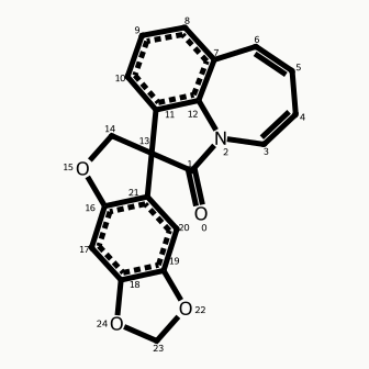 O=C1N2C=CC=Cc3cccc(c32)C12COc1cc3c(cc12)OCO3